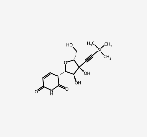 C[Si](C)(C)C#C[C@@]1(O)[C@@H](CO)O[C@@H](n2ccc(=O)[nH]c2=O)[C@@H]1O